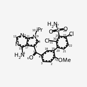 COc1ccc(C(=O)c2cn(C(C)C)c3ncnc(N)c23)cc1-c1ccc(Cl)c(S(N)(=O)=O)c1Cl